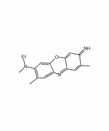 CCN(C)c1cc2oc3cc(=N)c(C)cc-3nc2cc1C